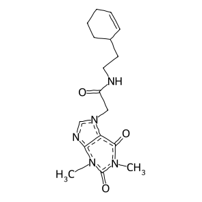 Cn1c(=O)c2c(ncn2CC(=O)NCCC2C=CCCC2)n(C)c1=O